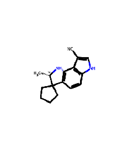 C[C@H](N)C1(c2ccc3[nH]cc(C#N)c3c2)CCCC1